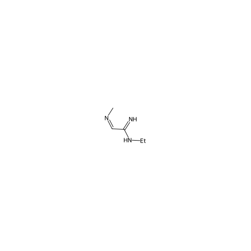 CCNC(=N)/C=N\C